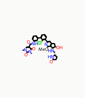 COc1nc(-c2cccc(-c3cccc(NC(=O)c4cn(C)c(=O)n(C)c4=O)c3Cl)c2Cl)cc2c1[C@@H](NC[C@@H]1CCC(=O)N1)[C@@H](O)C2